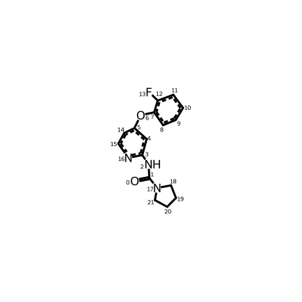 O=C(Nc1cc(Oc2ccccc2F)ccn1)N1CCCC1